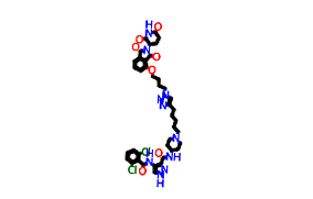 O=C1CCC(N2C(=O)c3cccc(OCCCCn4cc(CCCCCN5CCC(NC(=O)c6n[nH]cc6NC(=O)c6c(Cl)cccc6Cl)CC5)nn4)c3C2=O)C(=O)N1